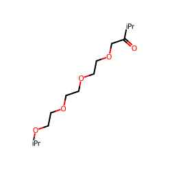 CC(C)OCCOCCOCCOCC(=O)C(C)C